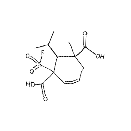 CC(C)C1C(C)(C(=O)O)CC=CC1(C(=O)O)S(=O)(=O)F